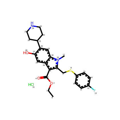 CCOC(=O)c1c(CSc2ccc(F)cc2)n(C)c2cc(C3CCNCC3)c(O)cc12.Cl